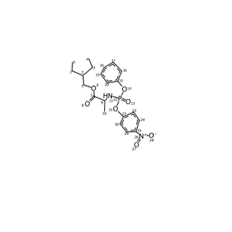 CCC(CC)COC(=O)C(C)NP(=O)(Oc1ccccc1)Oc1ccc([N+](=O)[O-])cc1